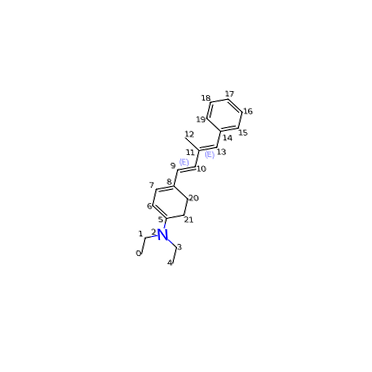 CCN(CC)C1=CC=C(/C=C/C(C)=C/c2ccccc2)CC1